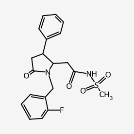 CS(=O)(=O)NC(=O)CC1C(c2ccccc2)CC(=O)N1Cc1ccccc1F